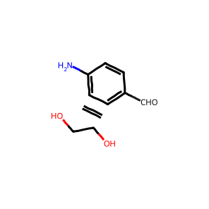 C=C.Nc1ccc(C=O)cc1.OCCO